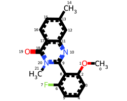 COc1cccc(F)c1-c1nc2cc(C)ccc2c(=O)n1C